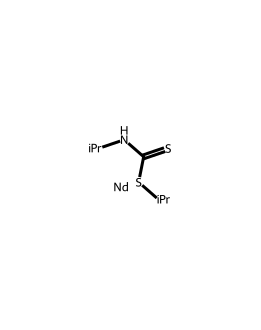 CC(C)NC(=S)SC(C)C.[Nd]